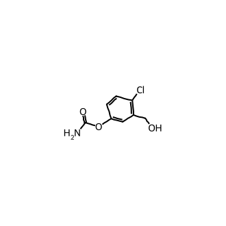 NC(=O)Oc1ccc(Cl)c(CO)c1